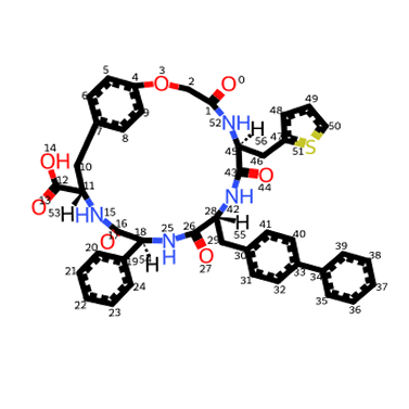 O=C1COc2ccc(cc2)C[C@@H](C(=O)O)NC(=O)[C@H](c2ccccc2)NC(=O)[C@@H](Cc2ccc(-c3ccccc3)cc2)NC(=O)[C@H](Cc2cccs2)N1